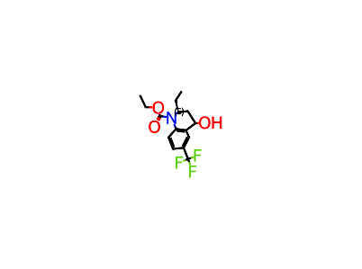 CCOC(=O)N1c2ccc(C(F)(F)F)cc2C(O)C[C@@H]1CC